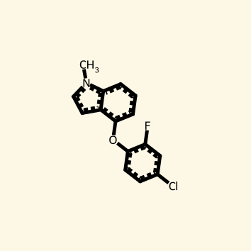 Cn1ccc2c(Oc3ccc(Cl)cc3F)cccc21